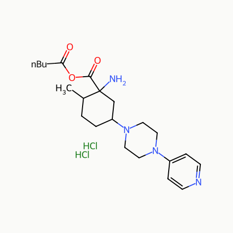 CCCCC(=O)OC(=O)C1(N)CC(N2CCN(c3ccncc3)CC2)CCC1C.Cl.Cl